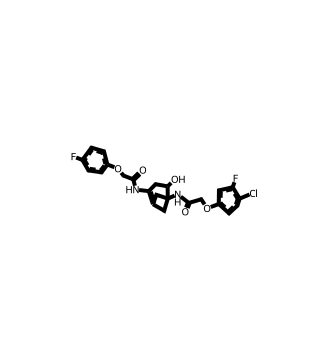 O=C(COc1ccc(F)cc1)NC1=C2CC(NC(=O)COc3ccc(Cl)c(F)c3)(C2)C(O)C1